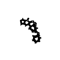 COC(=O)C(CC1CCCC1)n1ncc(Oc2ccccc2)cc1=O